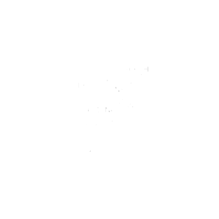 Cc1cn(CC(=O)O)c(=O)n(Cc2ccccc2)c1=O